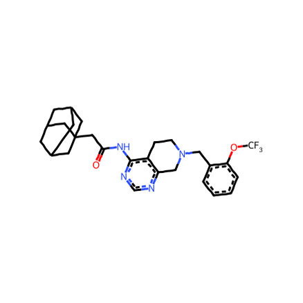 O=C(CC12CC3CC(CC(C3)C1)C2)Nc1ncnc2c1CCN(Cc1ccccc1OC(F)(F)F)C2